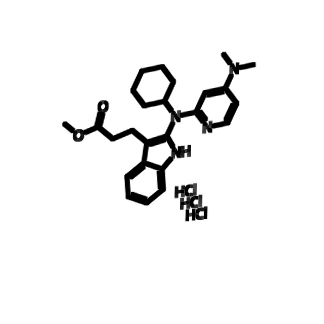 COC(=O)CCc1c(N(c2cc(N(C)C)ccn2)C2CCCCC2)[nH]c2ccccc12.Cl.Cl.Cl